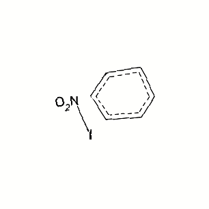 O=[N+]([O-])I.c1ccccc1